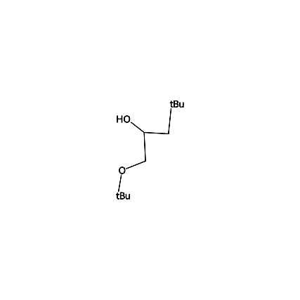 CC(C)(C)CC(O)COC(C)(C)C